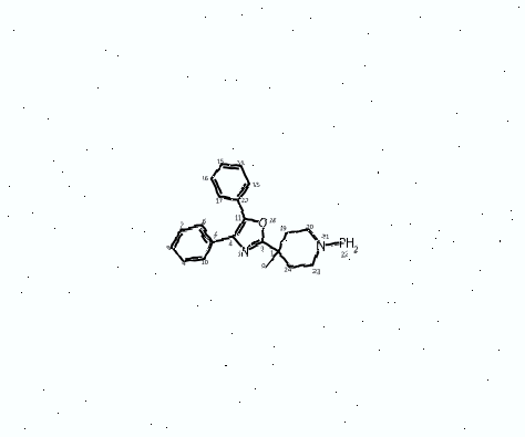 CC1(c2nc(-c3ccccc3)c(-c3ccccc3)o2)CCN(P)CC1